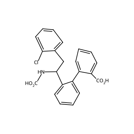 O=C(O)NC(Cc1ccccc1Cl)c1ccccc1-c1ccccc1C(=O)O